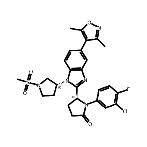 Cc1noc(C)c1-c1ccc2c(c1)nc([C@@H]1CCC(=O)N1c1ccc(F)c(Cl)c1)n2[C@@H]1CCN(S(C)(=O)=O)C1